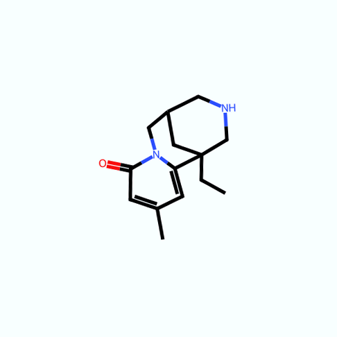 CCC12CNCC(Cn3c1cc(C)cc3=O)C2